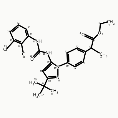 CCOC(=O)C(C)c1ccc(-n2nc(C(C)(C)C)cc2NC(=O)Nc2cccc(Cl)c2Cl)cc1